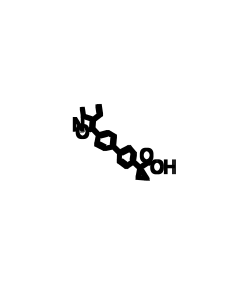 C=Cc1c(C)noc1-c1ccc(-c2ccc(C3(C(=O)O)CC3)cc2)cc1